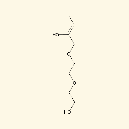 CC=C(O)COCCOCCO